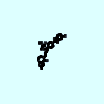 Cc1cc2c(s1)SCCN(CCCCN1CCN(c3nc4cc(Cl)ccc4o3)CC1)C2=O.O=C(O)C=CC(=O)O